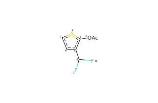 CC(=O)Oc1sccc1C(F)F